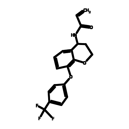 C=CC(=O)NC1CCOc2c(Oc3ccc(C(F)(F)F)cc3)cccc21